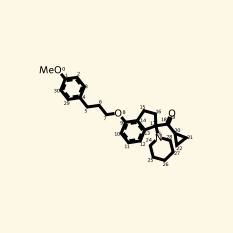 COc1ccc(CCCOc2cccc3c2CCC3(C(=O)C2CC2)N2CCCCC2)cc1